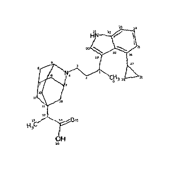 CC(CCN1C2CC3CC1CC(C(C)C(=O)O)(C3)C2)c1c[nH]c2cccc(C3CC3)c12